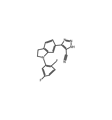 N#Cc1[nH]nnc1-c1ccc2c(c1)N(c1cc(F)ccc1F)CC2